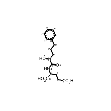 O=C(O)CC[C@H](NC(=O)N(O)CCCc1ccccc1)C(=O)O